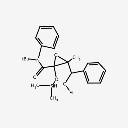 CCOC(c1ccccc1)C1(C)OC1(O[SiH](C)C)C(=O)N(c1ccccc1)C(C)(C)C